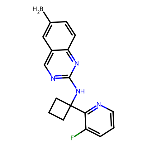 Bc1ccc2nc(NC3(c4ncccc4F)CCC3)ncc2c1